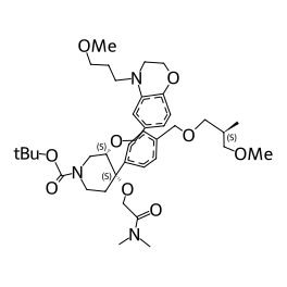 COCCCN1CCOc2ccc(CO[C@H]3CN(C(=O)OC(C)(C)C)CC[C@]3(OCC(=O)N(C)C)c3ccc(COC[C@@H](C)COC)cc3)cc21